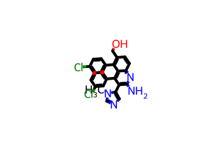 Cn1cncc1-c1c(N)nc2ccc(CO)c(-c3ccc(Cl)cc3)c2c1-c1cccc(Cl)c1